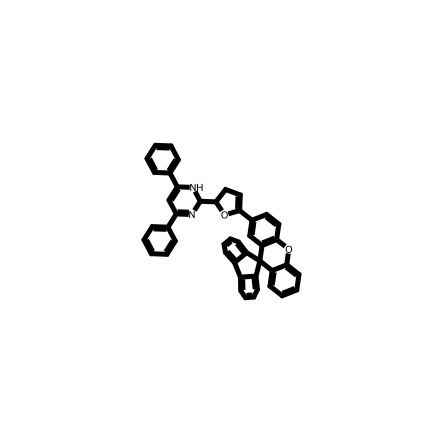 C1=C(c2ccccc2)NC(C2CC=C(c3ccc4c(c3)C3(c5ccccc5O4)c4ccccc4-c4ccccc43)O2)N=C1c1ccccc1